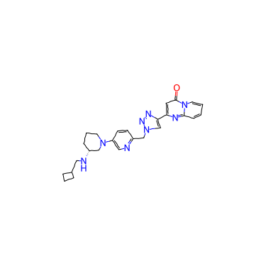 O=c1cc(-c2cn(Cc3ccc(N4CCC[C@@H](NCC5CCC5)C4)cn3)nn2)nc2ccccn12